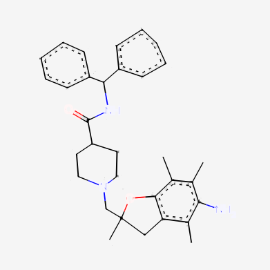 Cc1c(C)c2c(c(C)c1N)CC(C)(CN1CCC(C(=O)NC(c3ccccc3)c3ccccc3)CC1)O2